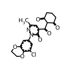 Cc1cc(C(=O)C2C(=O)CCCC2=O)c(=O)n(-c2cc(Cl)c3c(c2)OCCO3)n1